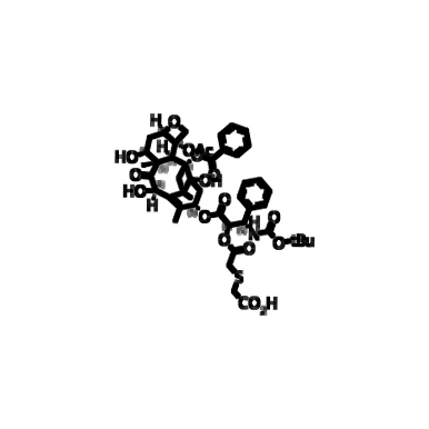 CC(=O)O[C@@]12CO[C@@H]1C[C@H](O)[C@@]1(C)C(=O)[C@H](O)C3=C(C)[C@@H](OC(=O)[C@H](OC(=O)CSCC(=O)O)[C@@H](NC(=O)OC(C)(C)C)c4ccccc4)C[C@]4(O)C3(C)C[C@@]4(OC(=O)c3ccccc3)[C@H]21